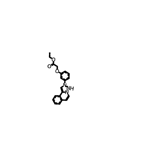 CCOC(=O)COc1cccc(N2C=C3c4ccccc4C=CN3N2)c1